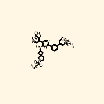 C=C/C(=C\N(C)C)c1cccc(-c2ncc(C(/C=N\C)=C/CC)c(NC3CC4(CCN(S(C)(=O)=O)C4)C3)n2)c1